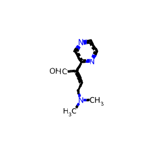 CN(C)CC=C(C=O)c1cnccn1